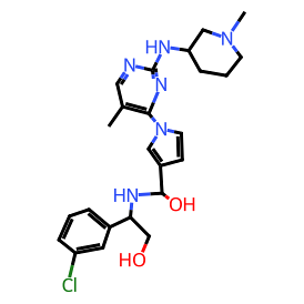 Cc1cnc(NC2CCCN(C)C2)nc1-n1ccc(C(O)NC(CO)c2cccc(Cl)c2)c1